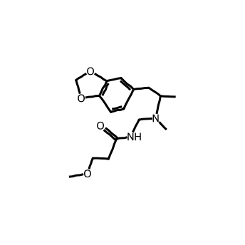 COCCC(=O)NCN(C)C(C)Cc1ccc2c(c1)OCO2